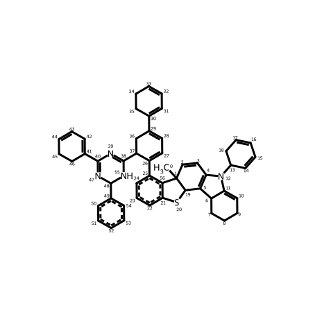 CC12C=CC3=C(C4CCCC=C4N3C3C=CC=CC3)C1Sc1cccc(C3=CC=C(C4=CC=CCC4)CC3C3=NC(C4=CC=CCC4)=NC(c4ccccc4)N3)c12